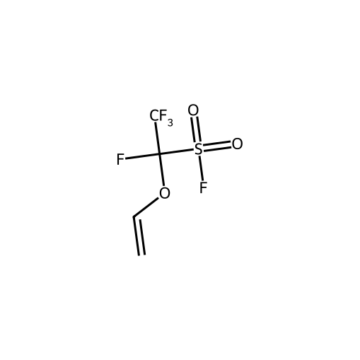 C=COC(F)(C(F)(F)F)S(=O)(=O)F